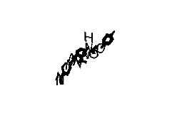 Cc1ccc(OCC(=O)Nc2ccc3nc(N4CCC(N(C)C)CC4)nc(C)c3n2)cc1